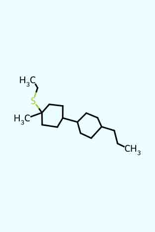 CCCC1CCC(C2CCC(C)(SCC)CC2)CC1